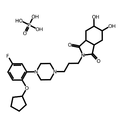 O=C1C2CC(O)C(O)CC2C(=O)N1CCCN1CCN(c2cc(F)ccc2OC2CCCC2)CC1.O=P(O)(O)O